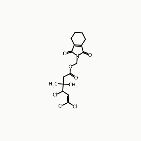 CC(C)(CC(=O)OCN1C(=O)C2=C(CCCC2)C1=O)C(Cl)C=C(Cl)Cl